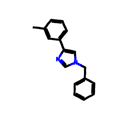 Cc1cccc(-c2cn(Cc3ccccc3)cn2)c1